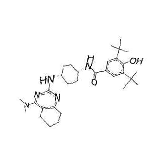 CN(C)c1nc(N[C@H]2CC[C@@H](NC(=O)c3cc(C(C)(C)C)c(O)c(C(C)(C)C)c3)CC2)nc2c1CCCC2